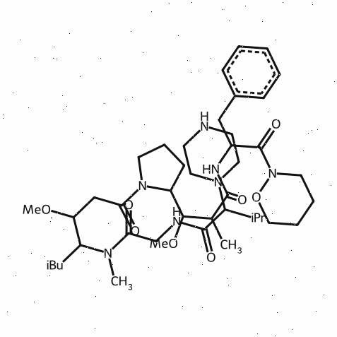 CCC(C)C(C(CC(=O)N1CCCC1C(OC)C(C)C(=O)NC(Cc1ccccc1)C(=O)N1CCCCO1)OC)N(C)C(=O)CNC(=O)C(C(C)C)N1CCNCC1